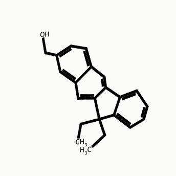 CCC1(CC)c2ccccc2-c2cc3ccc(CO)cc3cc21